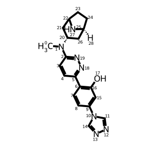 CN(c1ccc(-c2ccc(-n3cnnc3)cc2O)nn1)[C@@H]1CC2CC[C@@H](C1)N2